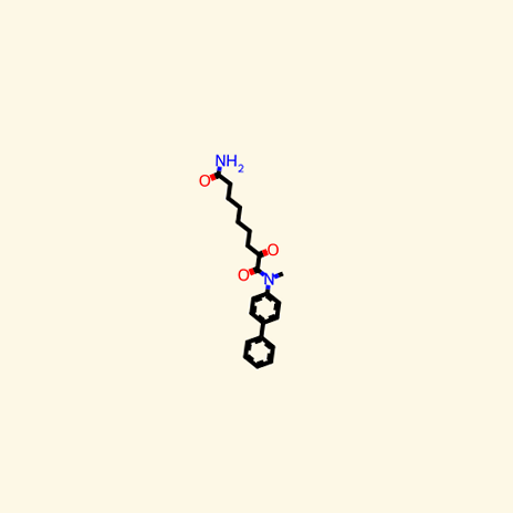 CN(C(=O)C(=O)CCCCCCC(N)=O)c1ccc(-c2ccccc2)cc1